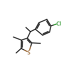 Cc1sc(C)c(C(C)c2ccc(Cl)cc2)c1C